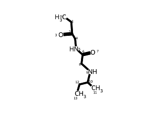 CCC(=O)CNC(=O)CNC(C)CC